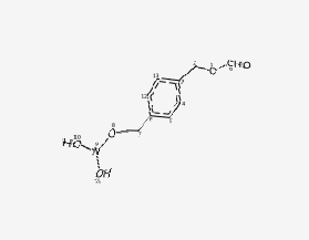 O=COCc1ccc(CON(O)O)cc1